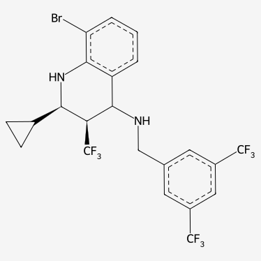 FC(F)(F)c1cc(CNC2c3cccc(Br)c3N[C@H](C3CC3)[C@@H]2C(F)(F)F)cc(C(F)(F)F)c1